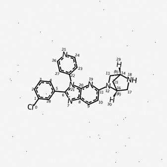 Clc1cccc(-c2nc3ccc(N4C[C@H]5C[C@@H]4CN5)nc3n2-c2ccncc2)c1